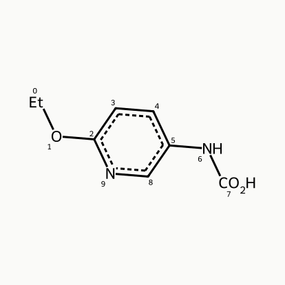 CCOc1ccc(NC(=O)O)cn1